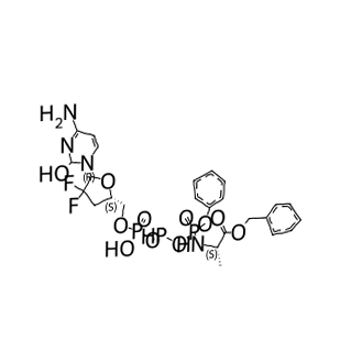 C[C@H](NP(=O)(OPOP(=O)(O)OC[C@@H]1CC(F)(F)[C@H](N2C=CC(N)=NC2O)O1)Oc1ccccc1)C(=O)OCc1ccccc1